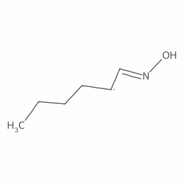 CCCC[CH]C=NO